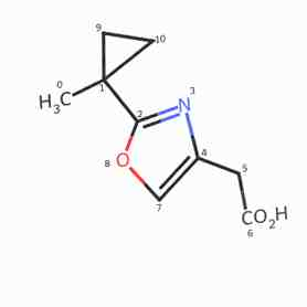 CC1(c2nc(CC(=O)O)co2)CC1